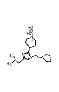 CC(C)Cc1cn(CCN2CCCC2)c(C2CCNCC2)n1.Cl.Cl.Cl